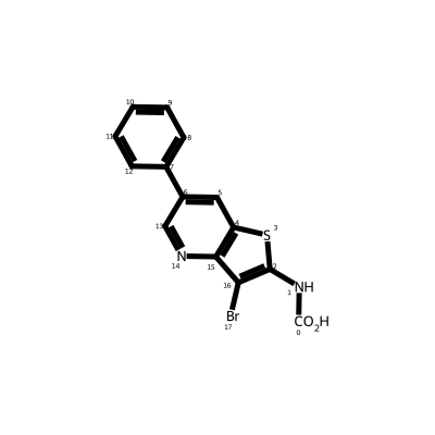 O=C(O)Nc1sc2cc(-c3ccccc3)cnc2c1Br